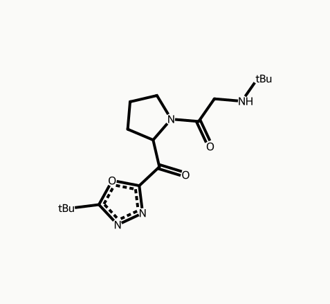 CC(C)(C)NCC(=O)N1CCCC1C(=O)c1nnc(C(C)(C)C)o1